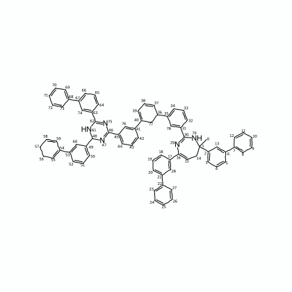 CC1(c2cccc(-c3ccccc3)c2)CC=C(c2cccc(-c3ccccc3)c2)N=C(c2cccc(C3C=CC=C(c4cccc(C5=NC(c6cccc(C7=CCCC=C7)c6)NC(c6cccc(-c7ccccc7)c6)=N5)c4)C3)c2)N1